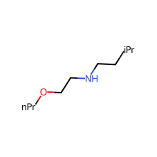 CCCOCCNCCC(C)C